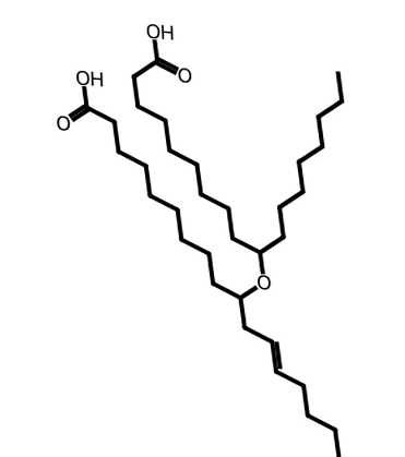 CCCCC/C=C/CC(CCCCCCCCC(=O)O)OC(CCCCCCCC)CCCCCCCCC(=O)O